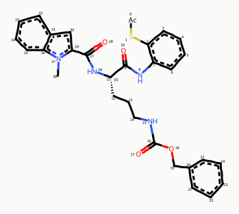 CC(=O)Sc1ccccc1NC(=O)[C@H](CCCNC(=O)OCc1ccccc1)NC(=O)c1cc2ccccc2n1C